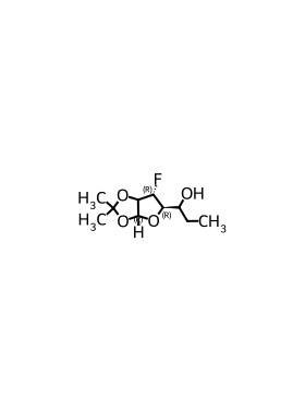 CCC(O)[C@H]1O[C@@H]2OC(C)(C)OC2[C@@H]1F